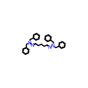 C(/CCC/C=N/N(Cc1ccccc1)Cc1ccccc1)=N\N(Cc1ccccc1)Cc1ccccc1